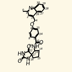 Cc1cc(COc2ccc(C(=O)NC3CCCC34NC(=O)NC4=O)cc2)c2ccccc2n1